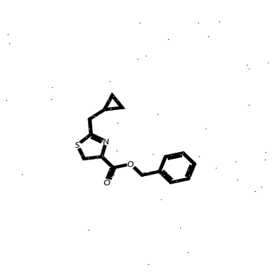 O=C(OCc1ccccc1)C1CSC(CC2CC2)=N1